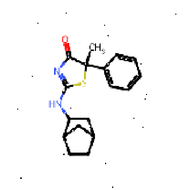 CC1(c2ccccc2)SC(NC2CC3CCC2C3)=NC1=O